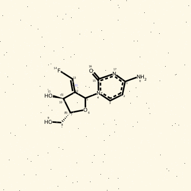 Nc1ccn(C2O[C@H](CO)[C@@H](O)/C2=C\F)c(=O)n1